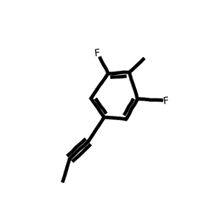 CC#Cc1cc(F)c(C)c(F)c1